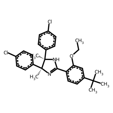 CCOc1cc(C(C)(C)C)ccc1C1=N[C@@](C)(c2ccc(Cl)cc2)[C@@](C)(c2ccc(Cl)cc2)N1